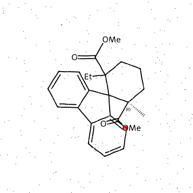 CCC1(C(=O)OC)CCC[C@@](C)(C(=O)OC)C12c1ccccc1-c1ccccc12